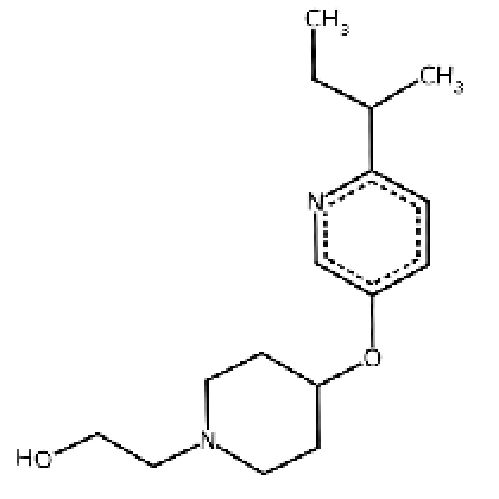 CCC(C)c1ccc(OC2CCN(CCO)CC2)cn1